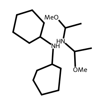 C1CCC(NC2CCCCC2)CC1.COC(C)NC(C)OC